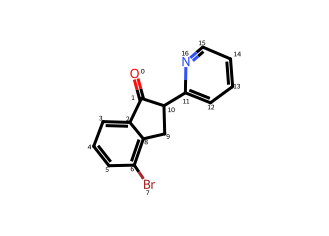 O=C1c2cccc(Br)c2CC1c1ccccn1